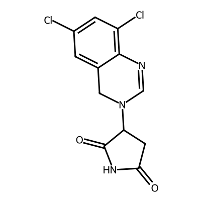 O=C1CC(N2C=Nc3c(Cl)cc(Cl)cc3C2)C(=O)N1